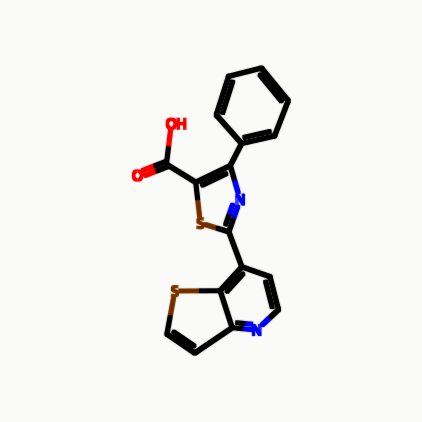 O=C(O)c1sc(-c2ccnc3ccsc23)nc1-c1ccccc1